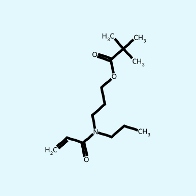 C=CC(=O)N(CCC)CCCOC(=O)C(C)(C)C